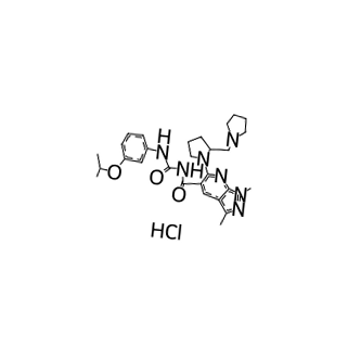 Cc1nn(C)c2nc(N3CCCC3CN3CCCC3)c(C(=O)NC(=O)Nc3cccc(OC(C)C)c3)cc12.Cl